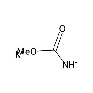 COC([NH-])=O.[K+]